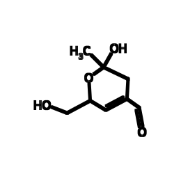 CC1(O)CC(C=O)=CC(CO)O1